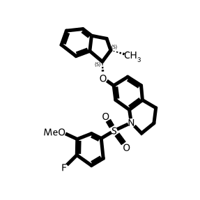 COc1cc(S(=O)(=O)N2CCCc3ccc(O[C@@H]4c5ccccc5C[C@@H]4C)cc32)ccc1F